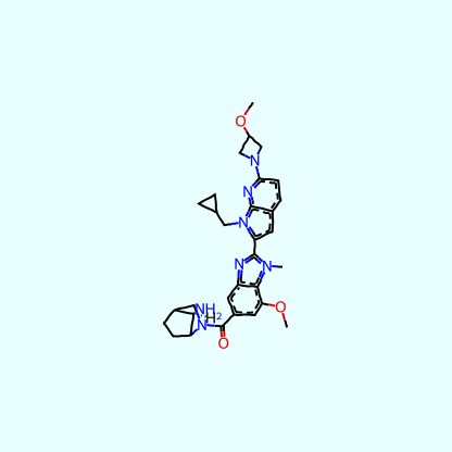 COc1cc(C(=O)N2CC3CCC2[C@@H]3N)cc2nc(-c3cc4ccc(N5CC(OC)C5)nc4n3CC3CC3)n(C)c12